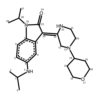 CC(C)Nc1ccc2c(c1)/C(=C1\CN(C3CCOCC3)CCN1)C(=O)N2C(C)C